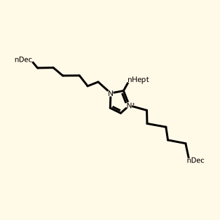 CCCCCCCCCCCCCCCCn1cc[n+](CCCCCCCCCCCCCCC)c1CCCCCCC